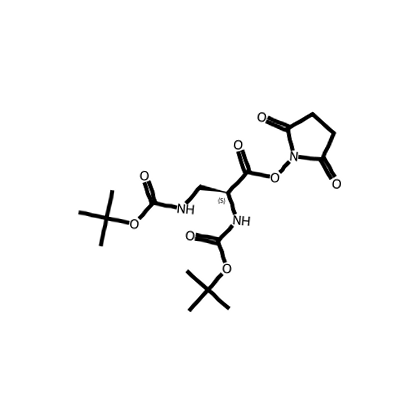 CC(C)(C)OC(=O)NC[C@H](NC(=O)OC(C)(C)C)C(=O)ON1C(=O)CCC1=O